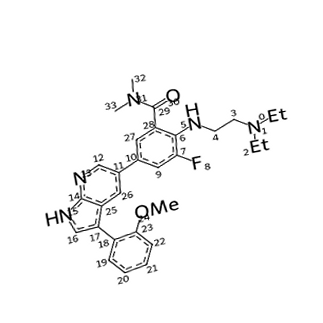 CCN(CC)CCNc1c(F)cc(-c2cnc3[nH]cc(-c4ccccc4OC)c3c2)cc1C(=O)N(C)C